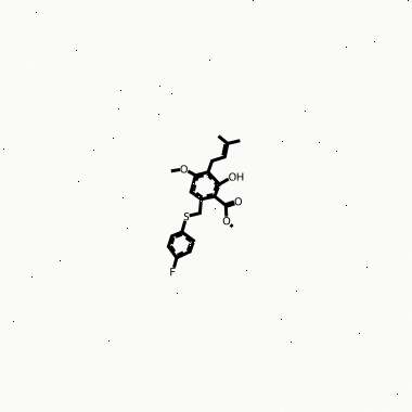 COC(=O)c1c(CSc2ccc(F)cc2)cc(OC)c(CC=C(C)C)c1O